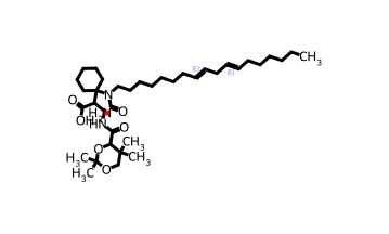 CCCCCC/C=C/C/C=C/CCCCCCCN(C(N)=O)C1(C(CNC(=O)C2OC(C)(C)OCC2(C)C)C(=O)O)CCCCC1